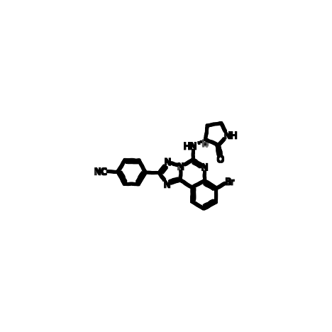 N#Cc1ccc(-c2nc3c4cccc(Br)c4nc(N[C@@H]4CCNC4=O)n3n2)cc1